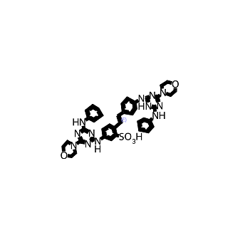 O=S(=O)(O)c1cc(Nc2nc(Nc3ccccc3)nc(N3CCOCC3)n2)ccc1/C=C/c1ccc(Nc2nc(Nc3ccccc3)nc(N3CCOCC3)n2)cc1